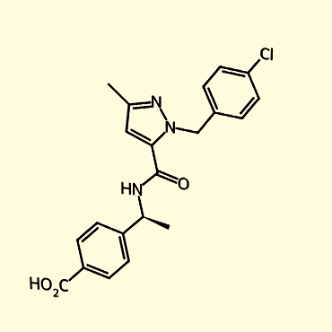 Cc1cc(C(=O)N[C@@H](C)c2ccc(C(=O)O)cc2)n(Cc2ccc(Cl)cc2)n1